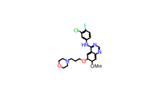 COC1C=c2ncnc(Nc3ccc(F)c(Cl)c3)c2=CC1OCCCN1CCOCC1